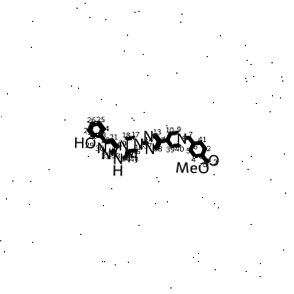 COC(=O)C1CCC(CN2CCC(c3cnc(N4CCN5c6cc(-c7ccccc7O)nnc6NC[C@H]5C4)nc3)CC2)CC1